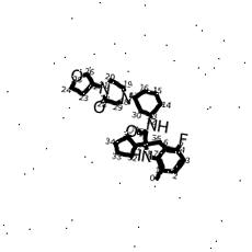 Cc1ccc(F)c2c1NC(C(=O)N[C@@H]1CCC[C@H](N3CCN(C4CCOC4)C(=O)C3)C1)(C1CCCC1)C2